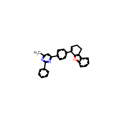 Cc1cc(-c2ccc(C3=CCCc4c3oc3ccccc43)cc2)nc(-c2ccccc2)n1